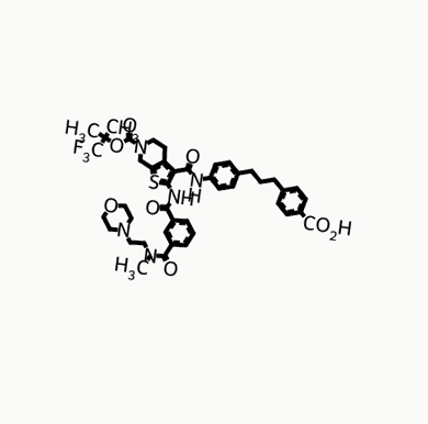 CN(CCN1CCOCC1)C(=O)c1cccc(C(=O)Nc2sc3c(c2C(=O)Nc2ccc(CCCc4ccc(C(=O)O)cc4)cc2)CCN(C(=O)OC(C)(C)C(F)(F)F)C3)c1